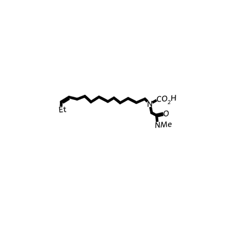 CC/C=C\CCCCCCCCCCN(CC(=O)NC)C(=O)O